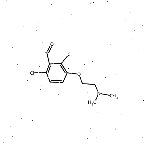 CN(C)CCOc1ccc(Cl)c([C]=O)c1Cl